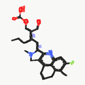 CCCC(/C=C1/c2nc3cc(F)c(C)c4c3c(c2CN1C)CCC4)=C(/C=O)COC(=O)O